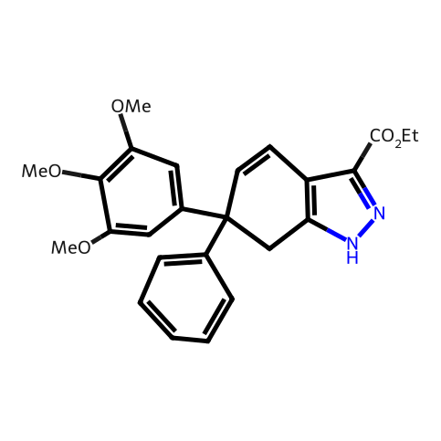 CCOC(=O)c1n[nH]c2c1C=CC(c1ccccc1)(c1cc(OC)c(OC)c(OC)c1)C2